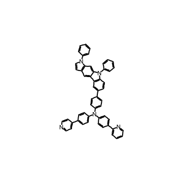 c1ccc(-n2ccc3cc4c5cc(-c6ccc(N(c7ccc(-c8ccncc8)cc7)c7ccc(-c8ccccn8)cc7)cc6)ccc5n(-c5ccccc5)c4cc32)cc1